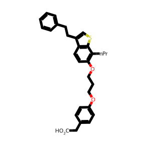 CCCc1c(OCCCOc2ccc(CC(=O)O)cc2)ccc2c(CCc3ccccc3)csc12